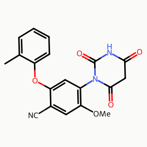 COc1cc(C#N)c(Oc2ccccc2C)cc1N1C(=O)CC(=O)NC1=O